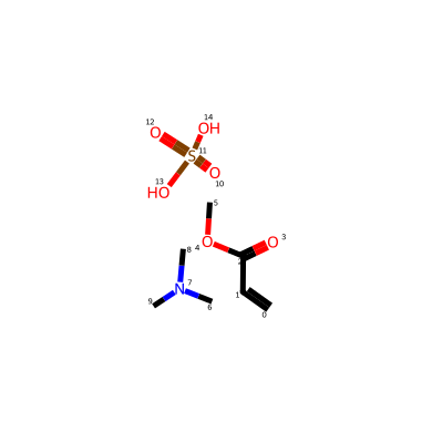 C=CC(=O)OC.CN(C)C.O=S(=O)(O)O